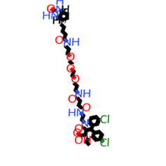 CCC[C@H](C(=O)O)c1c(-c2ccc(Cl)cc2)c2cc(Cl)ccc2n(CCNC(=O)CCC(=O)NCCCOCCOCCOCCCNC(=O)CCCC[C@H]2CC[C@H]3NC(=O)N[C@@H]23)c1=O